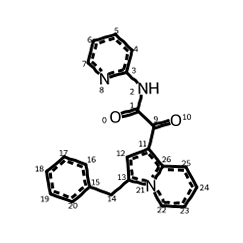 O=C(Nc1ccccn1)C(=O)c1cc(Cc2ccccc2)n2ccccc12